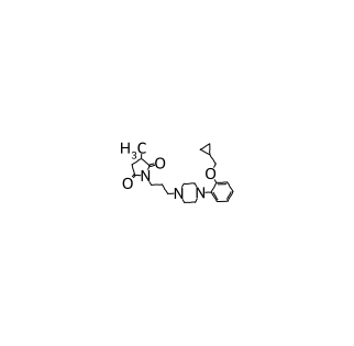 CC1CC(=O)N(CCCN2CCN(c3ccccc3OCC3CC3)CC2)C1=O